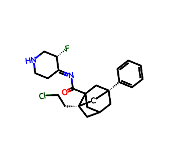 O=C(/N=C1\CCNC[C@@H]1F)C12CC3C[C@](c4ccccc4)(C1)C[C@@]2(CCCl)C3